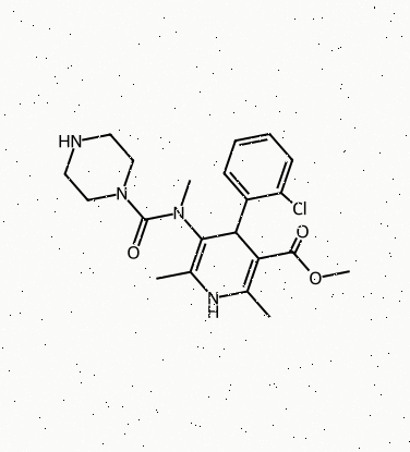 COC(=O)C1=C(C)NC(C)=C(N(C)C(=O)N2CCNCC2)C1c1ccccc1Cl